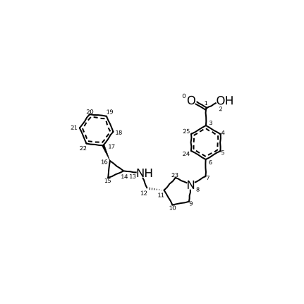 O=C(O)c1ccc(CN2CC[C@H](CNC3C[C@H]3c3ccccc3)C2)cc1